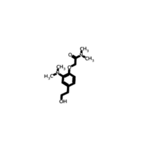 CN(C)C(=O)COc1ccc(CCO)cc1N(C)C